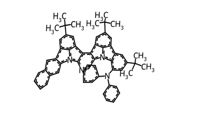 CC(C)(C)c1cc(N(c2ccccc2)c2ccccc2)c2c(c1)c1cc(C(C)(C)C)cc3c4c5c6cc(C(C)(C)C)cc7c8cc9ccccc9cc8n(c5ncc4n2c13)c76